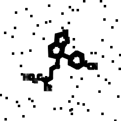 CCC(CCSc1ccc2cnsc2c1-c1ccc(C#N)cc1)C(=O)O